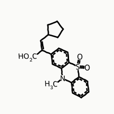 CN1c2ccccc2S(=O)(=O)c2ccc(/C(=C\C3CCCC3)C(=O)O)cc21